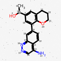 CB(O)c1cc2c(c(-c3ccc4c(N)cnnc4c3)c1)OCCC2